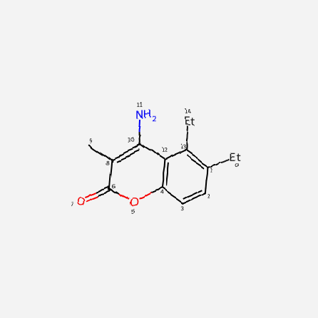 CCc1ccc2oc(=O)c(C)c(N)c2c1CC